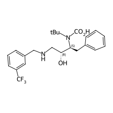 CC(C)(C)N(C(=O)O)[C@@H](Cc1ccccc1)[C@H](O)CNCc1cccc(C(F)(F)F)c1